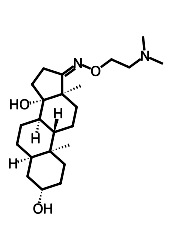 CN(C)CCO/N=C1/CC[C@]2(O)[C@@H]3CC[C@@H]4C[C@@H](O)CC[C@]4(C)[C@H]3CC[C@]12C